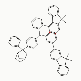 CC1(C)c2ccccc2-c2ccc(-c3cccc(N(c4ccc5c(c4)-c4ccccc4C54CC5CCC4C5)c4ccccc4-c4cccc5c4-c4ccccc4C5(C)C)c3)cc21